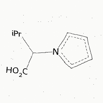 CC(C)C(C(=O)O)n1cccc1